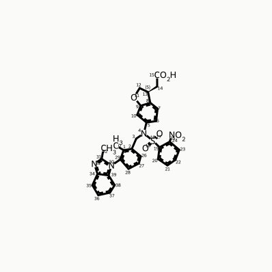 Cc1c(CN(c2ccc3c(c2)OC[C@H]3CC(=O)O)S(=O)(=O)c2ccccc2[N+](=O)[O-])cccc1-n1c(C)nc2ccccc21